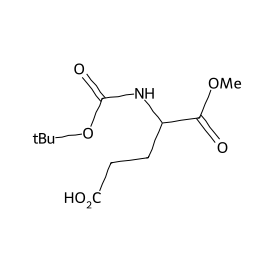 COC(=O)C(CCC(=O)O)NC(=O)OC(C)(C)C